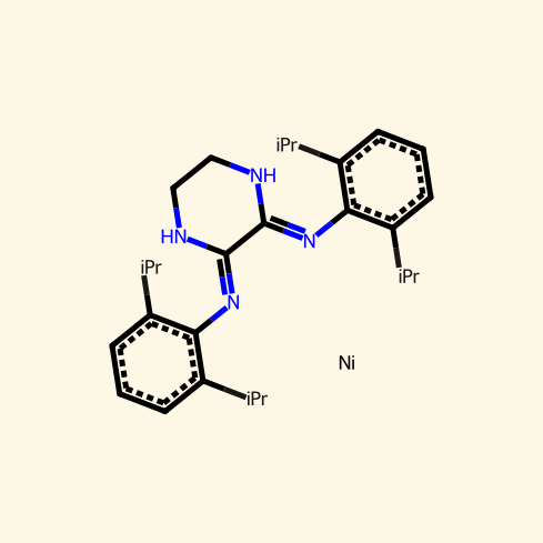 CC(C)c1cccc(C(C)C)c1N=C1NCCNC1=Nc1c(C(C)C)cccc1C(C)C.[Ni]